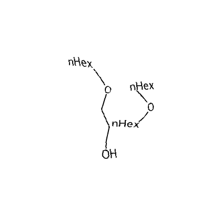 CCCCCCOCCCCCC.CCCCCCOCCO